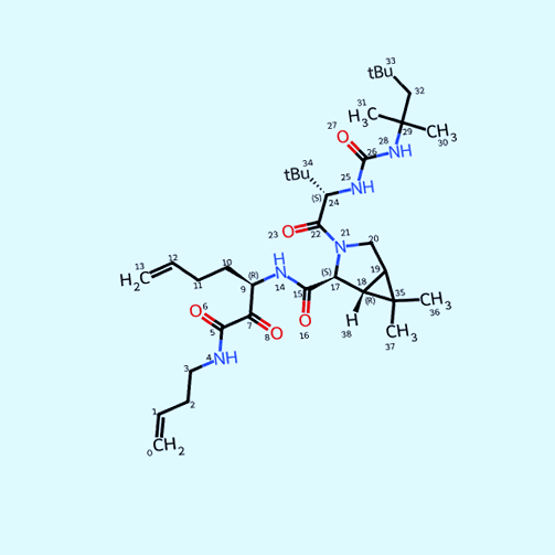 C=CCCNC(=O)C(=O)[C@@H](CCC=C)NC(=O)[C@@H]1[C@@H]2C(CN1C(=O)[C@@H](NC(=O)NC(C)(C)CC(C)(C)C)C(C)(C)C)C2(C)C